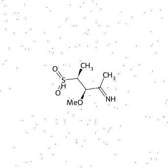 CO[C@H](C(C)=N)[C@H](C)[SH](=O)=O